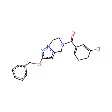 O=C(C1=CCCC(Cl)=C1)N1CCn2nc(OCc3ccccc3)cc2C1